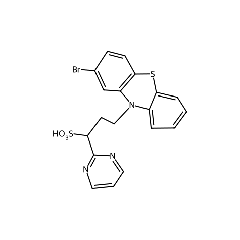 O=S(=O)(O)C(CCN1c2ccccc2Sc2ccc(Br)cc21)c1ncccn1